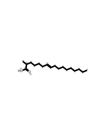 CCCCCCCCCC=CCCCCC(C)C(=O)O